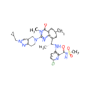 Cc1cc([C@@H](C)Nc2ccc(Cl)nc2C(=O)NS(C)(=O)=O)c2nc(N3CCc4nn(CC5CC5)cc4C3)n(C)c(=O)c2c1